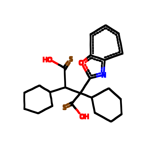 OC(=S)C(C1CCCCC1)C(C(O)=S)(c1nc2ccccc2o1)C1CCCCC1